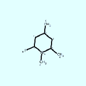 CC1CC(C)N(C)C(F)C1